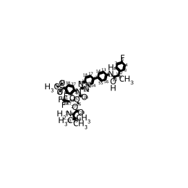 C[C@H](c1ccc(F)cc1)C(O)Nc1ccc(-c2ccc3nc(N(C(=O)OCOC(=O)[C@@H](N)C(C)(C)C)c4ccc(S(C)(=O)=O)cc4OCC(F)(F)F)nn3c2)cc1